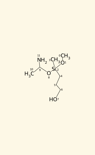 CO[Si](C)(CCCO)OC(C)N